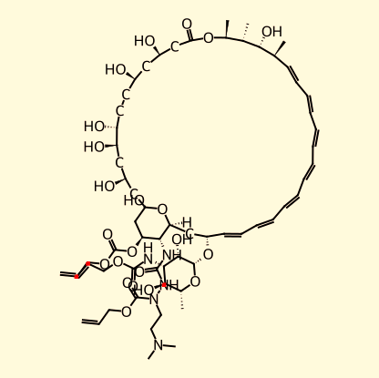 C=CCOC(=O)N[C@@H]1[C@H](O)[C@H](O[C@H]2/C=C/C=C/C=C/C=C/C=C/C=C/C=C/[C@H](C)[C@@H](O)[C@@H](C)[C@H](C)OC(=O)C[C@H](O)C[C@H](O)CC[C@@H](O)[C@H](O)C[C@H](O)C[C@]3(O)C[C@H](OC(=O)OCC=C)[C@@H](NC(=O)NN(CCN(C)C)C(=O)OCC=C)[C@H](C2)O3)O[C@H](C)[C@H]1O